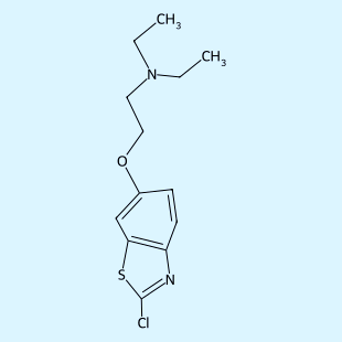 CCN(CC)CCOc1ccc2nc(Cl)sc2c1